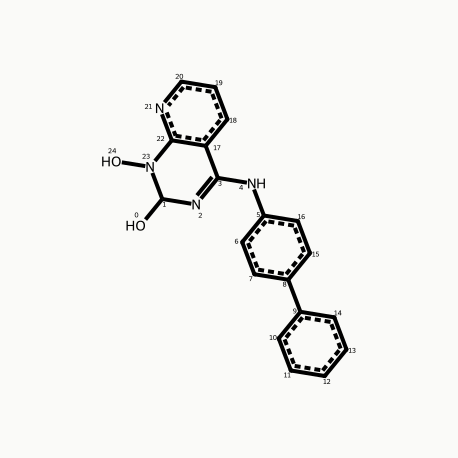 OC1N=C(Nc2ccc(-c3ccccc3)cc2)c2cccnc2N1O